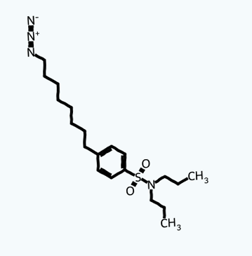 CCCN(CCC)S(=O)(=O)c1ccc(CCCCCCCCN=[N+]=[N-])cc1